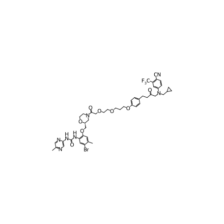 Cc1cnc(NC(=O)Nc2cc(Br)c(C)cc2OC[C@@H]2CN(C(=O)COCCOCCCOc3ccc(CCC(=O)CN(CC4CC4)c4ccc(C#N)c(C(F)(F)F)c4)cc3)CCO2)cn1